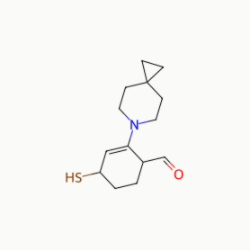 O=CC1CCC(S)C=C1N1CCC2(CC1)CC2